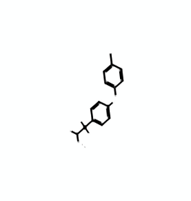 Cc1ccc(Oc2ccc(C(F)(F)C(O)C#N)cc2)cc1